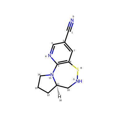 N#Cc1cnc2c(c1)SNC[C@H]1CCCN21